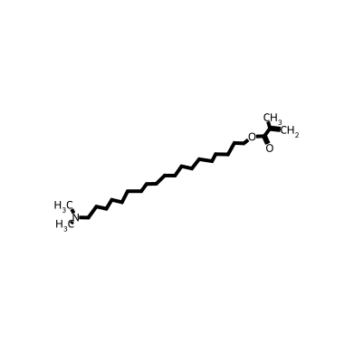 C=C(C)C(=O)OCCCCCCCCCCCCCCCCCCCN(C)C